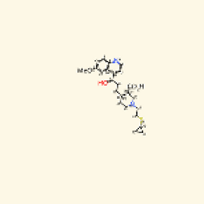 COc1ccc2nccc(C(O)CC[C@@H]3CCN(CCSC4CC4)C[C@@H]3C(=O)O)c2c1